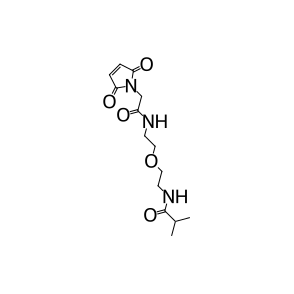 CC(C)C(=O)NCCOCCNC(=O)CN1C(=O)C=CC1=O